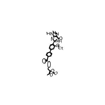 CCOc1cc(-c2ccc(C(=O)OCc3oc(=O)oc3C)cc2)ccc1-c1nc2[nH]nnc2c(=O)[nH]1